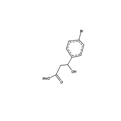 COC(=O)CC(O)c1ccc(Br)cc1